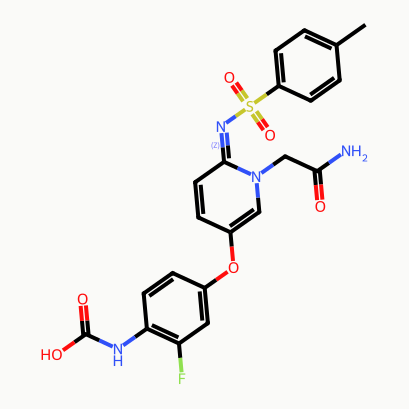 Cc1ccc(S(=O)(=O)/N=c2/ccc(Oc3ccc(NC(=O)O)c(F)c3)cn2CC(N)=O)cc1